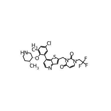 Cc1cc(Cl)cc(-c2ccnc3cc(Cn4c(=O)ccn(CC(F)(F)F)c4=O)sc23)c1O[C@H]1CNCC[C@H]1C